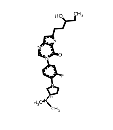 CCC(O)CCc1cc2ncn(-c3ccc(N4CC[C@@H](N(C)C)C4)c(F)c3)c(=O)c2s1